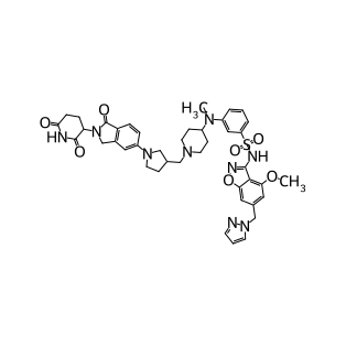 COc1cc(Cn2cccn2)cc2onc(NS(=O)(=O)c3cccc(N(C)C4CCN(CC5CCN(c6ccc7c(c6)CN(C6CCC(=O)NC6=O)C7=O)C5)CC4)c3)c12